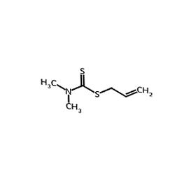 C=CCSC(=S)N(C)C